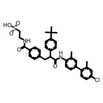 Cc1cc(-c2ccc(Cl)cc2C)ccc1NC(=O)C(Cc1ccc(C(=O)NCCS(=O)(=O)O)cc1)c1ccc(C(C)(C)C)cc1